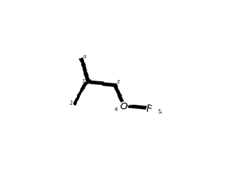 CC(C)COF